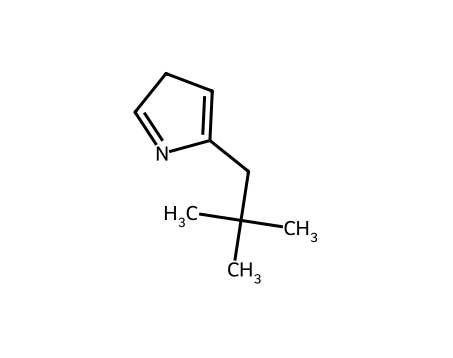 CC(C)(C)CC1=CCC=N1